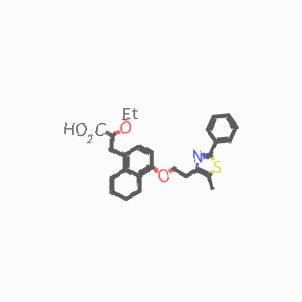 CCOC(Cc1ccc(OCCc2nc(-c3ccccc3)sc2C)c2c1CCCC2)C(=O)O